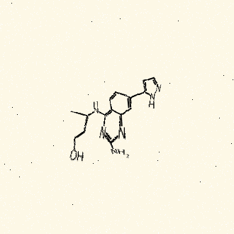 CC(CCO)Nc1nc(N)nc2cc(-c3ccn[nH]3)ccc12